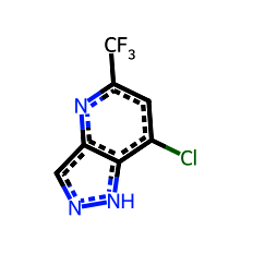 FC(F)(F)c1cc(Cl)c2[nH]ncc2n1